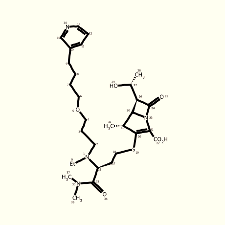 CCN(CCCOCCCCc1cccnc1)[C@@H](CCSC1=C(C(=O)O)N2C(=O)[C@H]([C@@H](C)O)C2[C@H]1C)C(=O)N(C)C